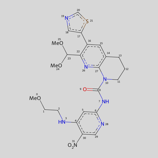 COCCNc1cc(NC(=O)N2CCCc3cc(-c4cncs4)c(C(OC)OC)nc32)ncc1[N+](=O)[O-]